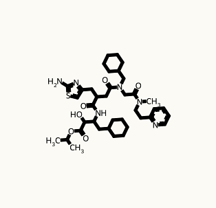 CC(C)OC(=O)C(O)C(CC1CCCCC1)NC(=O)C(CC(=O)N(CC(=O)N(C)CCc1ccccn1)CC1CCCCC1)Cc1csc(N)n1